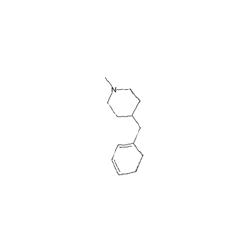 CN1CCC(CC2=CC=CCC2)CC1